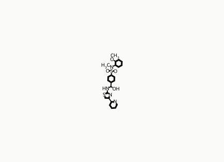 COc1ccccc1N(C)S(=O)(=O)c1ccc(C(O)Nc2nc(-c3ccccn3)cs2)cc1